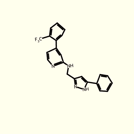 FC(F)(F)c1ccccc1-c1ccnc(NCc2cc(-c3ccccc3)[nH]n2)c1